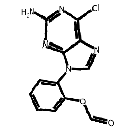 Nc1nc(Cl)c2ncn(-c3ccccc3OC=O)c2n1